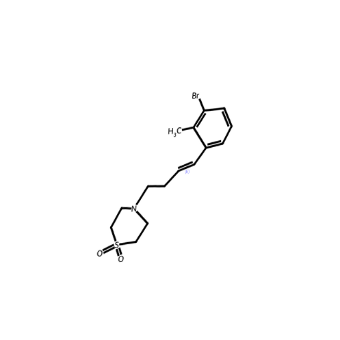 Cc1c(Br)cccc1/C=C/CCN1CCS(=O)(=O)CC1